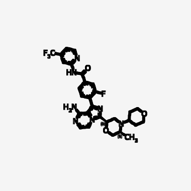 C[C@H]1CO[C@@H](c2nc(-c3ccc(C(=O)Nc4cc(C(F)(F)F)ccn4)cc3F)c3c(N)nccn23)CN1C1CCOCC1